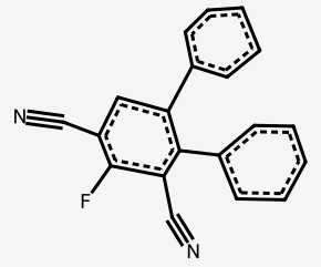 N#Cc1cc(-c2ccccc2)c(-c2ccccc2)c(C#N)c1F